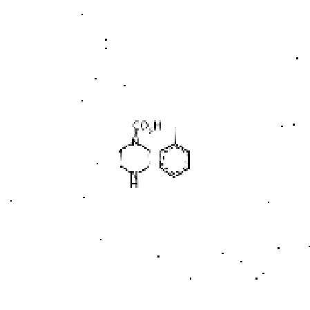 Cc1ccccc1.O=C(O)N1CCNCC1